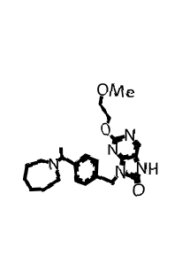 COCCOc1ncc2[nH]c(=O)n(Cc3ccc(C(C)N4CCCCCC4)cc3)c2n1